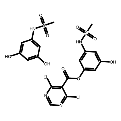 CS(=O)(=O)Nc1cc(O)cc(O)c1.CS(=O)(=O)Nc1cc(O)cc(OC(=O)c2c(Cl)ncnc2Cl)c1